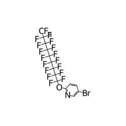 FC(F)(F)C(F)(F)C(F)(F)C(F)(F)C(F)(F)C(F)(F)C(F)(F)C(F)(F)C(F)(F)Oc1ccc(Br)cn1